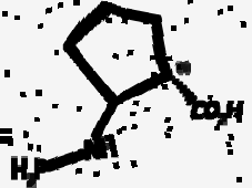 O=C(O)[C@H]1CCCC1NP